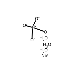 O.O.O.[Na+].[O-][I+3]([O-])([O-])[O-]